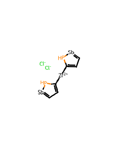 [CH]1=[Sb][PH][C]([Zr+2][C]2=C[CH]=[Sb][PH]2)=C1.[Cl-].[Cl-]